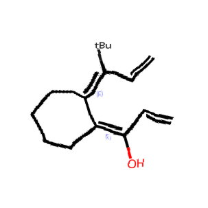 C=C/C(O)=C1/CCCC/C1=C(/C=C)C(C)(C)C